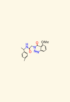 COc1cccc2nnn(CC(=O)NC(C)c3ccc(C)cc3)c(=O)c12